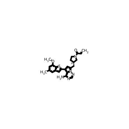 C=CC(=O)N1CC[C@H](Cc2cc(-c3cc4cc(C)cc(OC)c4s3)c3c(N)ncnn23)C1